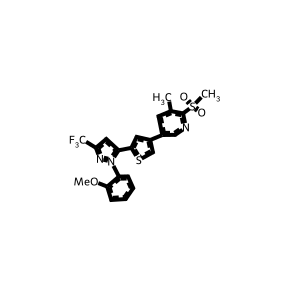 COc1ccccc1-n1nc(C(F)(F)F)cc1-c1cc(-c2cnc(S(C)(=O)=O)c(C)c2)cs1